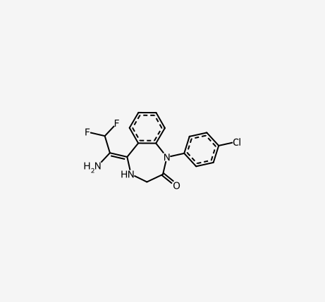 N/C(=C1\NCC(=O)N(c2ccc(Cl)cc2)c2ccccc21)C(F)F